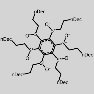 CCCCCCCCCCCC[S+]([O-])c1c([S+]([O-])CCCCCCCCCCCC)c([S+]([O-])CCCCCCCCCCCC)c([S+]([O-])CCCCCCCCCCCC)c([S+]([O-])CCCCCCCCCCCC)c1[S+]([O-])CCCCCCCCCCCC